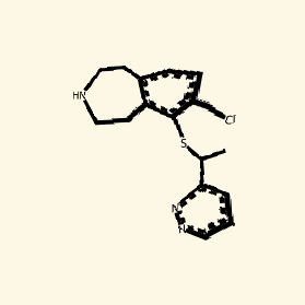 CC(Sc1c(Cl)ccc2c1CCNCC2)c1cccnn1